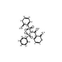 O=C(C1=CC=CCC1=S)N(S(=O)(=O)C1=CC=CCC1=S)S(=O)(=O)c1ccccc1